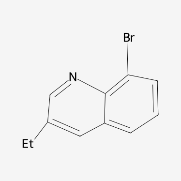 [CH2]Cc1cnc2c(Br)cccc2c1